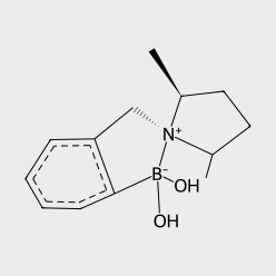 CC1CC[C@H](C)[N@@+]12Cc1ccccc1[B-]2(O)O